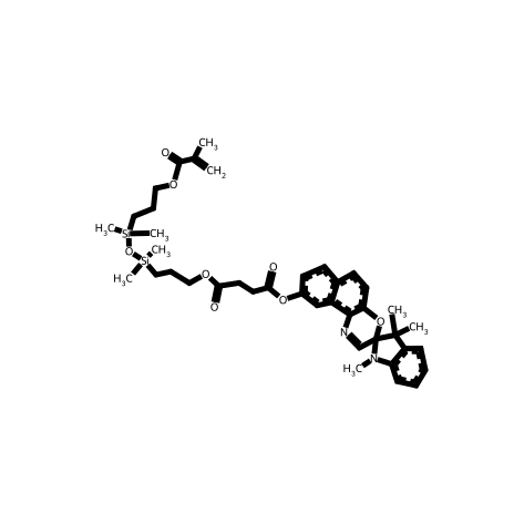 C=C(C)C(=O)OCCC[Si](C)(C)O[Si](C)(C)CCCOC(=O)CCC(=O)Oc1ccc2ccc3c(c2c1)N=CC1(O3)N(C)c2ccccc2C1(C)C